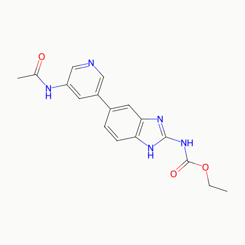 CCOC(=O)Nc1nc2cc(-c3cncc(NC(C)=O)c3)ccc2[nH]1